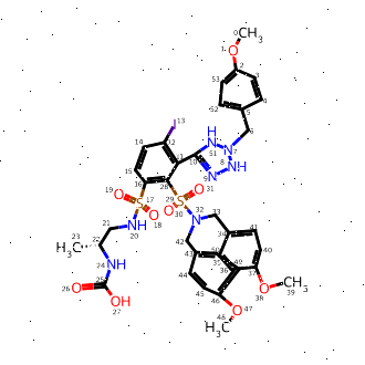 COc1ccc(CN2NN=C(c3c(I)ccc(S(=O)(=O)NC[C@@H](C)NC(=O)O)c3S(=O)(=O)N(Cc3ccc(OC)cc3)Cc3ccc(OC)cc3)N2)cc1